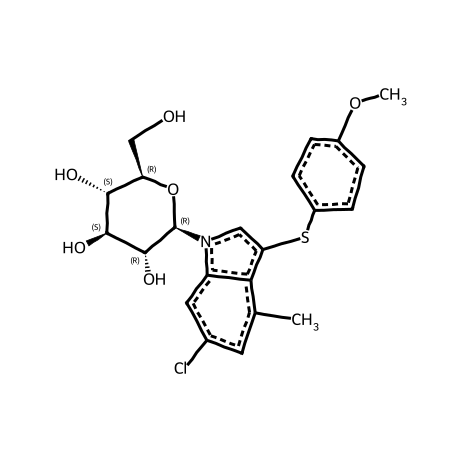 COc1ccc(Sc2cn([C@@H]3O[C@H](CO)[C@@H](O)[C@H](O)[C@H]3O)c3cc(Cl)cc(C)c23)cc1